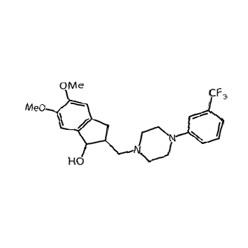 COc1cc2c(cc1OC)C(O)C(CN1CCN(c3cccc(C(F)(F)F)c3)CC1)C2